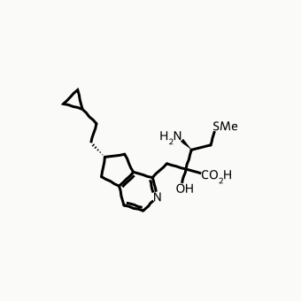 CSC[C@H](N)C(O)(Cc1nccc2c1C[C@@H](CCC1CC1)C2)C(=O)O